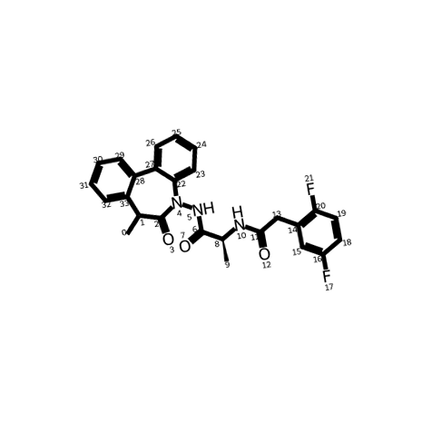 CC1C(=O)N(NC(=O)[C@H](C)NC(=O)Cc2cc(F)ccc2F)c2ccccc2-c2ccccc21